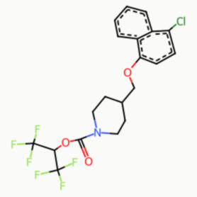 O=C(OC(C(F)(F)F)C(F)(F)F)N1CCC(COc2ccc(Cl)c3ccccc23)CC1